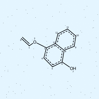 C=COc1ccc(O)c2ccccc12